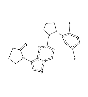 O=C1CCCN1c1cnn2ccc(N3CCC[C@@H]3c3cc(F)ccc3F)nc12